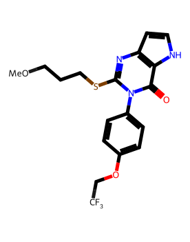 COCCCSc1nc2cc[nH]c2c(=O)n1-c1ccc(OCC(F)(F)F)cc1